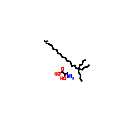 CC(O)C(=O)O.CCCCCCCCCCCCCCCC(CCCC)(CCCC)CCCC.N